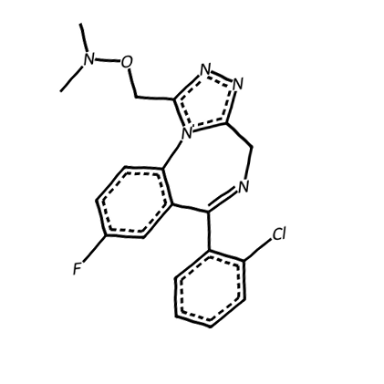 CN(C)OCc1nnc2n1-c1ccc(F)cc1C(c1ccccc1Cl)=NC2